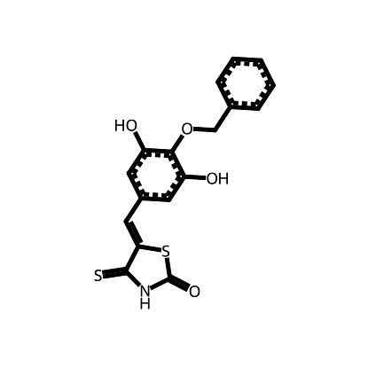 O=C1NC(=S)/C(=C/c2cc(O)c(OCc3ccccc3)c(O)c2)S1